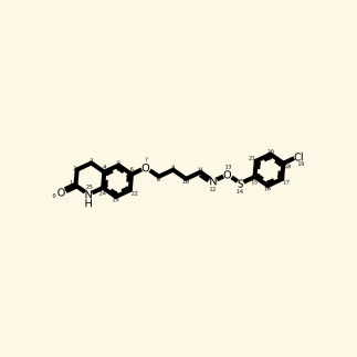 O=C1CCc2cc(OCCCC=NOSc3ccc(Cl)cc3)ccc2N1